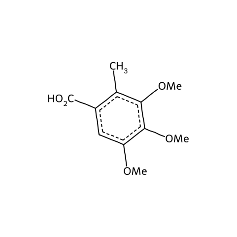 COc1cc(C(=O)O)c(C)c(OC)c1OC